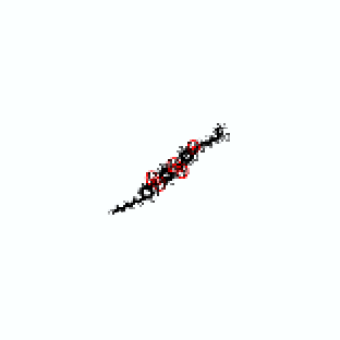 C=CCCCCCC1CCC(C(=O)Oc2ccc(OC(=O)c3ccc(OCCCCC[C@@H](C)CC)cc3)cc2)CC1